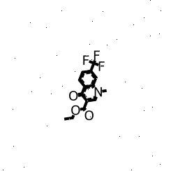 CCOC(=O)c1cn(C)c2cc(C(F)(F)F)ccc2c1=O